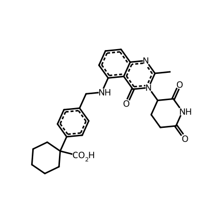 Cc1nc2cccc(NCc3ccc(C4(C(=O)O)CCCCC4)cc3)c2c(=O)n1C1CCC(=O)NC1=O